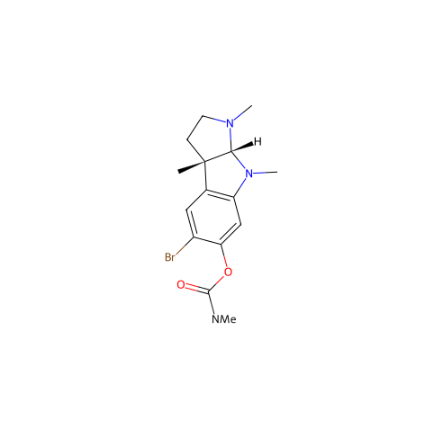 CNC(=O)Oc1cc2c(cc1Br)[C@]1(C)CCN(C)[C@@H]1N2C